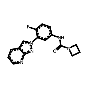 O=C(Nc1ccc(F)c(-n2cc3cccnc3n2)c1)N1CCC1